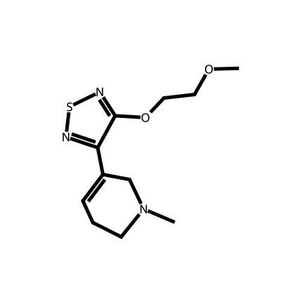 COCCOc1nsnc1C1=CCCN(C)C1